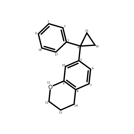 c1ccc(C2(c3ccc4c(c3)OCCC4)CC2)cc1